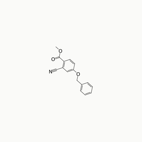 COC(=O)c1ccc(OCc2ccccc2)cc1C#N